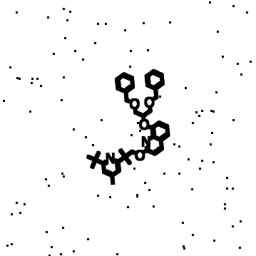 Cc1cc(C(C)(C)C)nc(C(C)(C)COc2ccc3cccc(OC(COCc4ccccc4)COCc4ccccc4)c3n2)c1